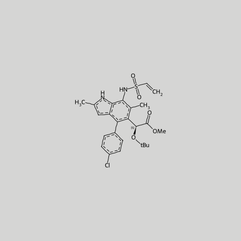 C=CS(=O)(=O)Nc1c(C)c([C@H](OC(C)(C)C)C(=O)OC)c(-c2ccc(Cl)cc2)c2cc(C)[nH]c12